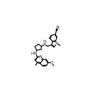 COc1ccc2c(C)cc(NC3CCC(NCc4cn(C)c5cc(C#N)ccc45)C3)nc2c1